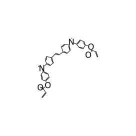 C=CC(=O)Oc1ccc(N(C)c2ccc(C=Cc3ccc(N(C)c4ccc(OC(=O)C=C)cc4)cc3)cc2)cc1